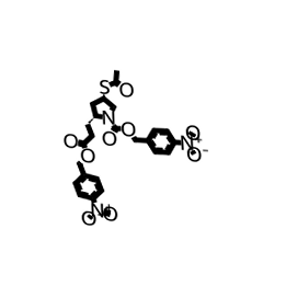 CC(=O)S[C@H]1C[C@@H](CCC(=O)OCc2ccc([N+](=O)[O-])cc2)N(C(=O)OCc2ccc([N+](=O)[O-])cc2)C1